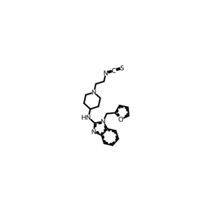 S=C=NCCN1CCC(Nc2nc3ccccc3n2Cc2ccco2)CC1